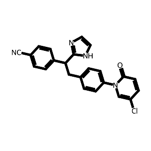 N#Cc1ccc(C(Cc2ccc(-n3cc(Cl)ccc3=O)cc2)c2ncc[nH]2)cc1